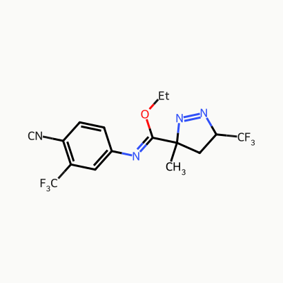 [C-]#[N+]c1ccc(/N=C(\OCC)C2(C)CC(C(F)(F)F)N=N2)cc1C(F)(F)F